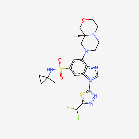 CC1(NS(=O)(=O)c2cc(N3CCN4CCOC[C@H]4C3)c3ncn(-c4nnc(C(F)F)s4)c3c2)CC1